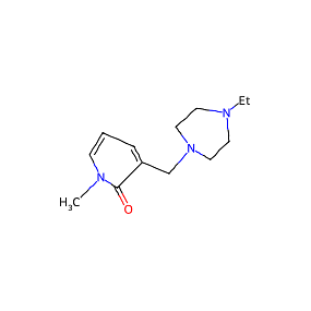 CCN1CCN(Cc2cccn(C)c2=O)CC1